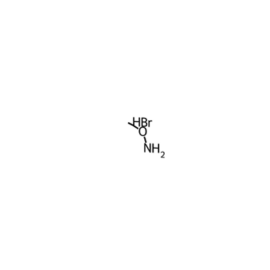 Br.CON